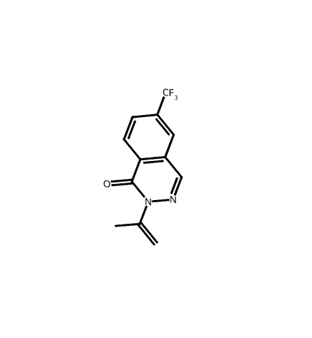 C=C(C)n1ncc2cc(C(F)(F)F)ccc2c1=O